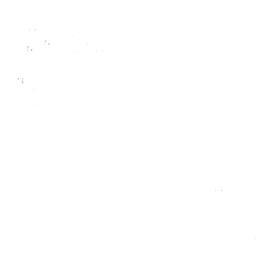 COCCOCCOCCOCCOCCOCCOCCOCCOc1ccc(CN2CC3(CCC(c4ccccc4)(N(C)C)CC3)N(CC3CCC3)C2=O)cc1